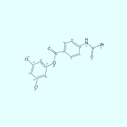 CC(C)C(=O)Nc1ccc(C(=O)Oc2cc(Cl)cc(Cl)c2)cc1